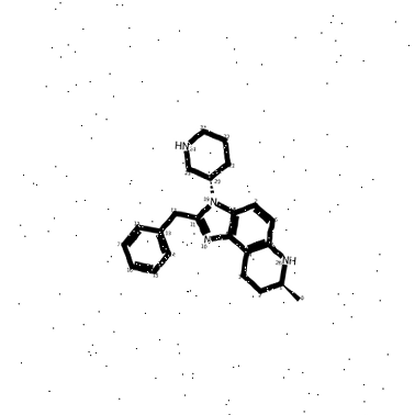 C[C@H]1CCc2c(ccc3c2nc(Cc2ccccc2)n3[C@H]2CCCNC2)N1